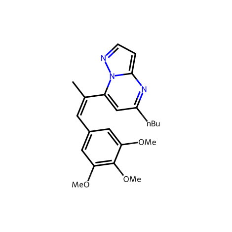 CCCCc1cc(/C(C)=C\c2cc(OC)c(OC)c(OC)c2)n2nccc2n1